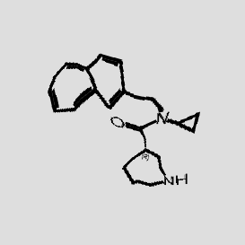 O=C([C@@H]1CCCNC1)N(Cc1ccc2ccccc2c1)C1CC1